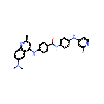 Cc1cc(Nc2ccc(NC(=O)c3ccc(Nc4cc(C)nc5ccc(N(C)C)cc45)cc3)cc2)ccn1